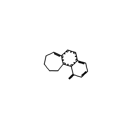 O=C1C=CC=c2ccc3c(c21)CCCCC=3